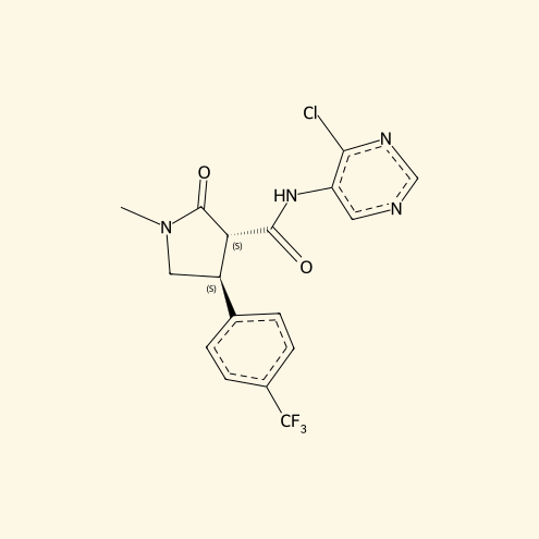 CN1C[C@H](c2ccc(C(F)(F)F)cc2)[C@@H](C(=O)Nc2cncnc2Cl)C1=O